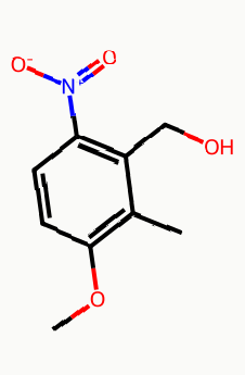 COc1ccc([N+](=O)[O-])c(CO)c1C